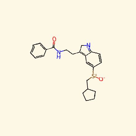 O=C(NCCC1=c2cc([S+]([O-])CC3CCCC3)ccc2=NC1)c1ccccc1